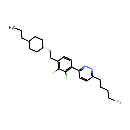 CCCCCc1ccc(-c2ccc(CC[C@H]3CC[C@H](CCC)CC3)c(F)c2F)nn1